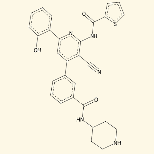 N#Cc1c(-c2cccc(C(=O)NC3CCNCC3)c2)cc(-c2ccccc2O)nc1NC(=O)c1cccs1